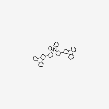 O=c1c2cc(-c3ccc4c5ccccc5c5ccccc5c4c3)ccc2c2ccc(-c3ccc4c5ccccc5c5ccccc5c4c3)cc2n1-c1ccccc1